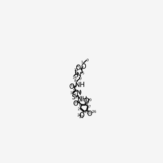 CCOC(=O)CN(CCNC(=O)c1csc(NC(=O)c2cc(OC)c(OC)cc2OC)n1)C(C)C